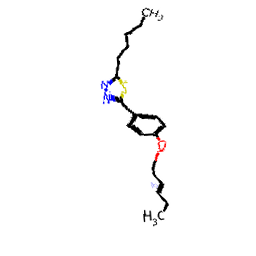 CC/C=C/COc1ccc(-c2nnc(CCCCC)s2)cc1